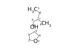 C1CCOC1.CCC(C)CO